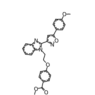 COC(=O)c1ccc(OCCn2c(-c3cc(-c4ccc(OC)cc4)on3)nc3ccccc32)cc1